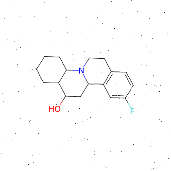 OC1CC2c3cc(F)ccc3CCN2C2CCCCC12